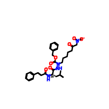 CC(C)C[C@H](NC(=O)CCc1ccccc1)C(=O)NN(CCCCCC(=O)C[N+](=O)[O-])C(=O)OCc1ccccc1